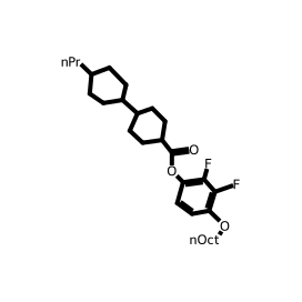 CCCCCCCCOc1ccc(OC(=O)C2CCC(C3CCC(CCC)CC3)CC2)c(F)c1F